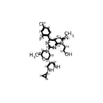 C/N=c1\sc2c(-c3ccc(Cl)cc3F)nc(N3C[C@H](C)O[C@@H](/C(C=N)=C/NC4CC4)C3)nc2n1CCO